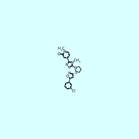 Cn1c(-c2ccn(C)c(=O)c2)nnc1N1CCC[C@@H]1c1cc(-c2cccc(Cl)c2)on1